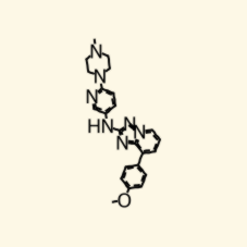 COc1ccc(-c2cccn3nc(Nc4ccc(N5CCN(C)CC5)nc4)nc23)cc1